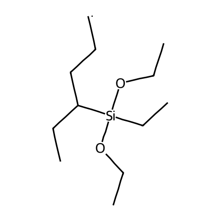 [CH2]CCC(CC)[Si](CC)(OCC)OCC